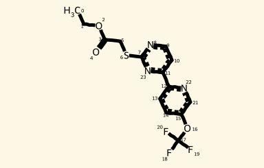 CCOC(=O)CSc1nccc(-c2ccc(OC(F)(F)F)cn2)n1